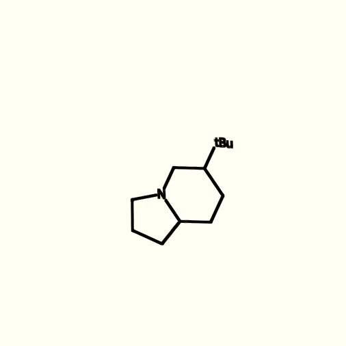 CC(C)(C)C1CCC2CCCN2C1